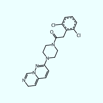 O=C(Cc1c(Cl)cccc1Cl)N1CCN(C2=NN3C=NCC=C3C=C2)CC1